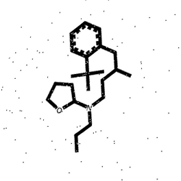 CCCN(CCC(C)Cc1ccccc1C(C)(C)C)C1CCCO1